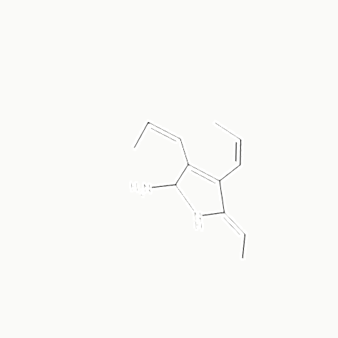 C/C=C\C1=C(/C=C\C)C(N)N/C1=C\C